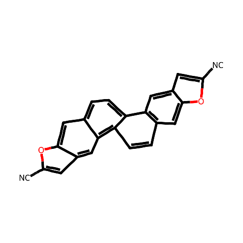 [C-]#[N+]c1cc2cc3c(ccc4c5cc6cc(C#N)oc6cc5ccc34)cc2o1